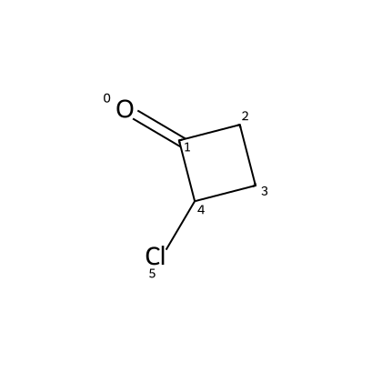 O=C1CCC1Cl